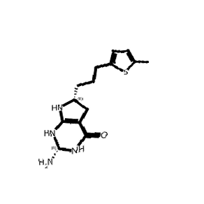 Cc1ccc(CCC[C@@H]2CC3=C(N2)N[C@@H](N)NC3=O)s1